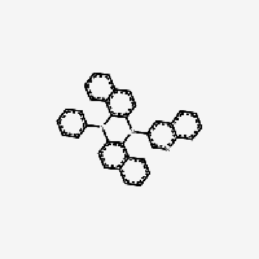 c1ccc(N2c3ccc4ccccc4c3N(c3cnc4ccccc4c3)c3ccc4ccccc4c32)cc1